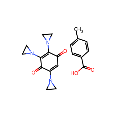 Cc1ccc(C(=O)O)cc1.O=C1C=C(N2CC2)C(=O)C(N2CC2)=C1N1CC1